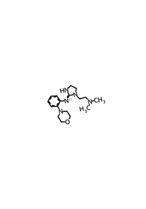 CN(C)CCN1CCN/C1=N\c1ccccc1N1CCOCC1